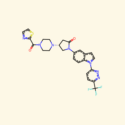 O=C(c1nccs1)N1CCN([C@@H]2CC(=O)N(c3ccc4c(ccn4-c4ccc(C(F)(F)F)nn4)c3)C2)CC1